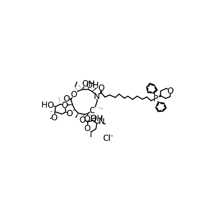 CC[C@H]1OC(=O)[C@H](C)[C@@H](O[C@H]2C[C@@](C)(OC)[C@@H](O)[C@H](C)O2)[C@H](C)[C@@H](O[C@@H]2O[C@H](C)C[C@H](N(C)C)[C@H]2O)[C@](C)(O)C[C@@H](C)CN(C(=O)CCCCCCCCCCC[P+](c2ccccc2)(c2ccccc2)C2CCOCC2)[C@H](C)[C@@H](O)[C@]1(C)O.[Cl-]